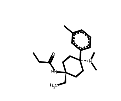 CCC(=O)N[C@]1(CN)CC[C@](c2cccc(C)c2)(N(C)C)CC1